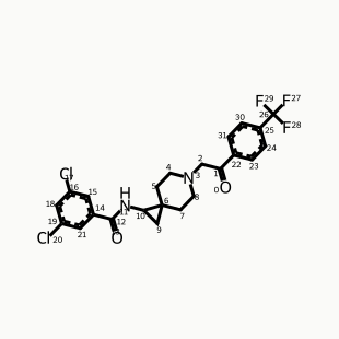 O=C(CN1CCC2(CC1)CC2NC(=O)c1cc(Cl)cc(Cl)c1)c1ccc(C(F)(F)F)cc1